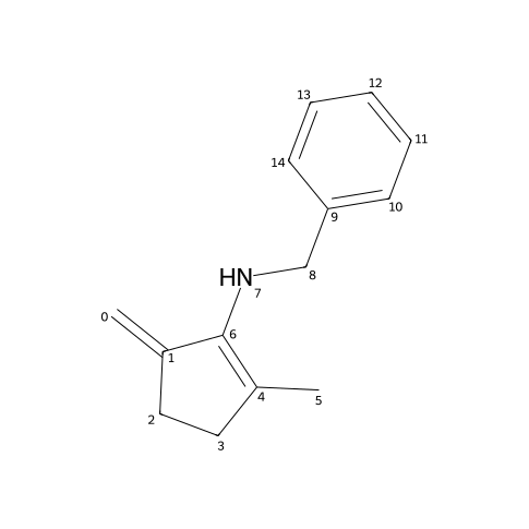 C=C1CCC(C)=C1NCc1ccccc1